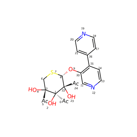 CC(=O)[C@]1(O)[C@@](O)(C(C)=O)CS[C@H](Oc2cnccc2-c2ccncc2)[C@@]1(O)C(C)=O